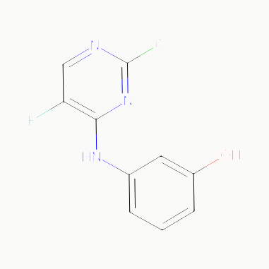 Oc1cccc(Nc2nc(Cl)ncc2F)c1